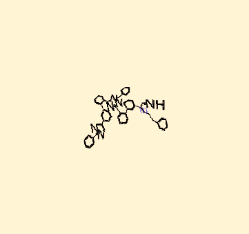 N=C/C(=C\CCc1ccccc1)c1cccc(-c2ccccc2-c2nc(-c3ccccc3)nc(-c3ccccc3-c3cccc(-c4cnc(-c5ccccc5)nc4)c3)n2)c1